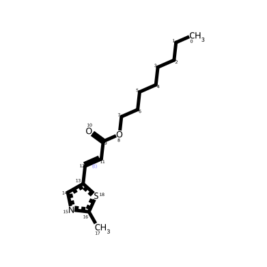 CCCCCCCCOC(=O)/C=C/c1cnc(C)s1